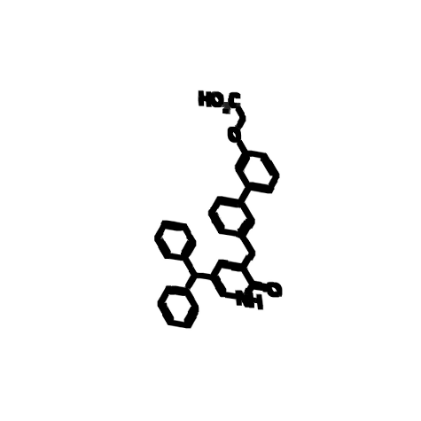 O=C(O)COc1cccc(-c2cccc(Cc3cc(C(c4ccccc4)c4ccccc4)c[nH]c3=O)c2)c1